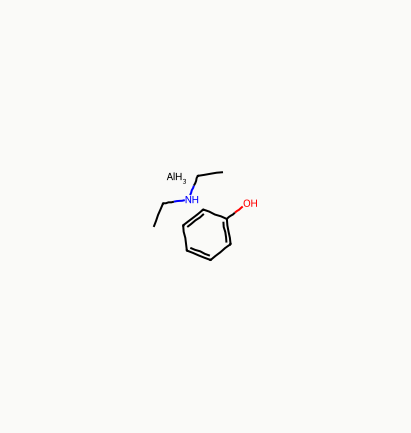 CCNCC.Oc1ccccc1.[AlH3]